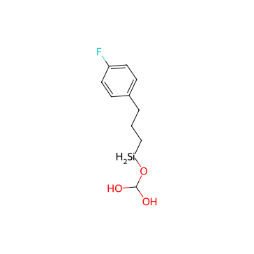 OC(O)O[SiH2]CCCc1ccc(F)cc1